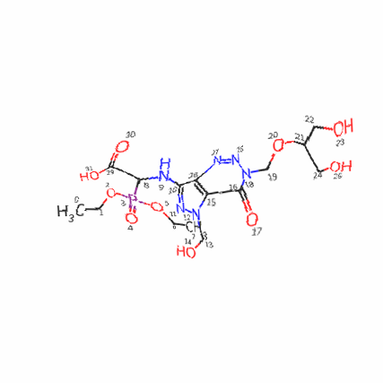 CCOP(=O)(OCC)C(Nc1nn(CO)c2c(=O)n(COC(CO)CO)nnc12)C(=O)O